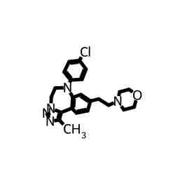 Cc1nnn2c1-c1ccc(CCN3CCOCC3)cc1N(c1ccc(Cl)cc1)CC2